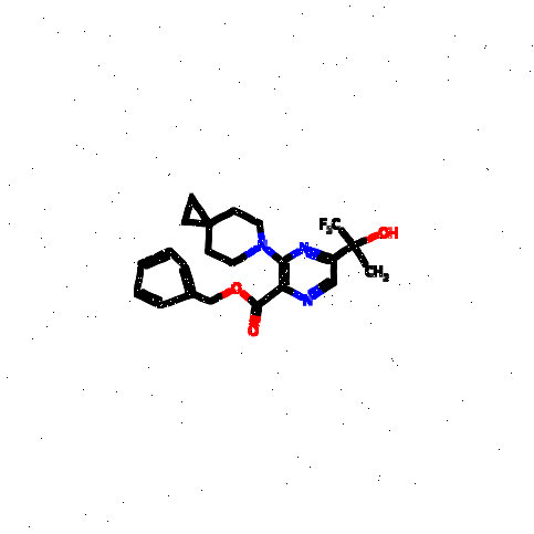 CC(O)(c1cnc(C(=O)OCc2ccccc2)c(N2CCC3(CC2)CC3)n1)C(F)(F)F